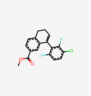 COC(=O)c1ccc2c(c1)C(c1c(F)ccc(Cl)c1F)=CCC2